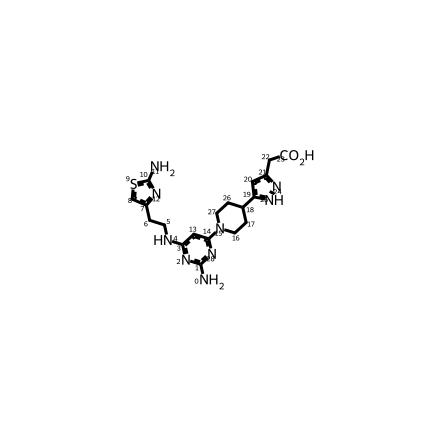 Nc1nc(NCCc2csc(N)n2)cc(N2CCC(c3cc(CC(=O)O)n[nH]3)CC2)n1